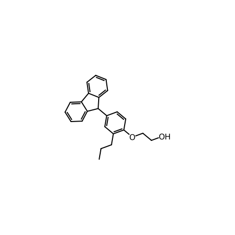 CCCc1cc(C2c3ccccc3-c3ccccc32)ccc1OCCO